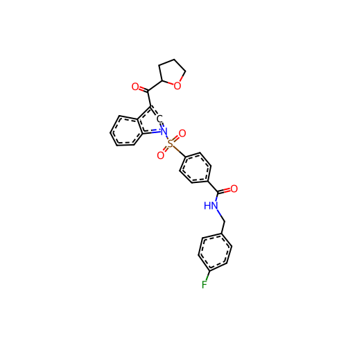 O=C(NCc1ccc(F)cc1)c1ccc(S(=O)(=O)n2cc(C(=O)C3CCCO3)c3ccccc32)cc1